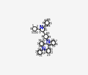 c1ccc(-c2cc(-c3ccc(-n4c5c(c6ccccc64)-c4ccccc4N(c4ccccc4)c4ccccc4-5)cc3)cc(-c3ccccc3)n2)cc1